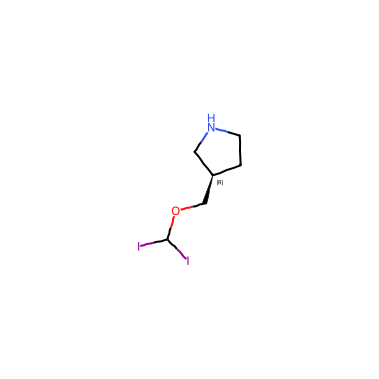 IC(I)OC[C@@H]1CCNC1